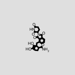 NC(=O)C1CC2CC1(Cc1cccc3c1C(=O)N(C1CCC(=O)NC1=O)C3=O)C(O)C2O